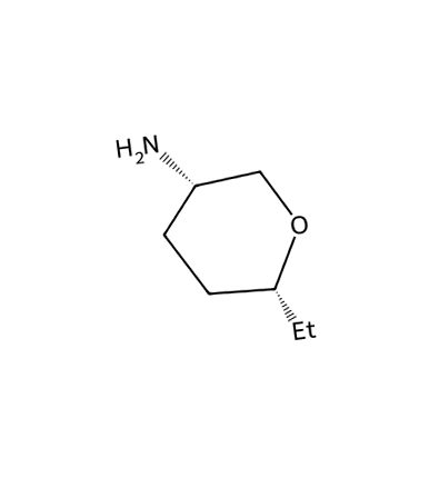 CC[C@@H]1CC[C@H](N)CO1